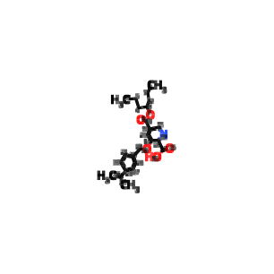 CCCC(CCC)OC(=O)c1cnc(C(=O)O)c(OCc2ccc(C(C)C)cc2)c1